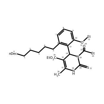 CCCCCCCCCCCCCCCc1cccc(OCC)c1C1C(C(=O)OCC)=C(C)NC(=S)N1C(=O)CC